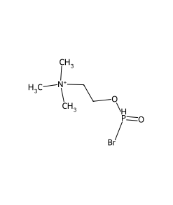 C[N+](C)(C)CCO[PH](=O)Br